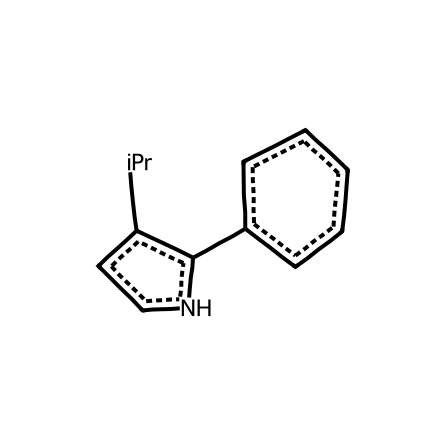 CC(C)c1cc[nH]c1-c1ccccc1